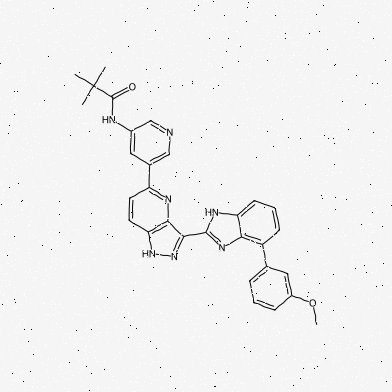 COc1cccc(-c2cccc3[nH]c(-c4n[nH]c5ccc(-c6cncc(NC(=O)C(C)(C)C)c6)nc45)nc23)c1